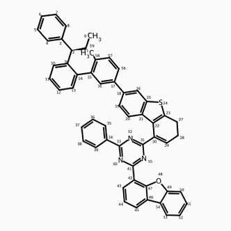 CC[C@H](c1ccccc1)c1ccccc1-c1cc(-c2ccc3c4c(sc3c2)CCC=C4c2nc(-c3ccccc3)nc(-c3cccc4c3oc3ccccc34)n2)ccc1C